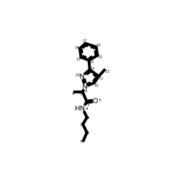 CCCCNC(=O)C(C)n1cc(C)c(-c2ccccc2)n1